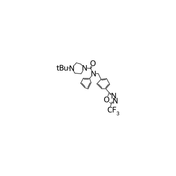 CC(C)(C)N1CCN(C(=O)N(Cc2ccc(-c3nnc(C(F)(F)F)o3)cc2)c2ccccc2)CC1